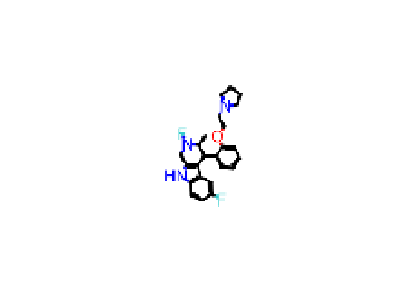 CC1C(c2ccccc2OCCN2CCCC2)c2c([nH]c3ccc(F)cc23)CN1F